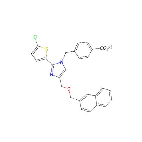 O=C(O)c1ccc(Cn2cc(COCc3ccc4ccccc4c3)nc2-c2ccc(Cl)s2)cc1